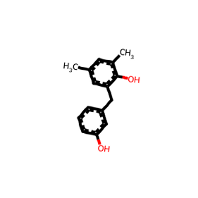 Cc1cc(C)c(O)c(Cc2cccc(O)c2)c1